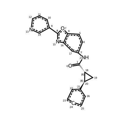 O=C(Nc1ccc2oc(-c3cccnc3)nc2c1)[C@@H]1C[C@H]1c1ccccc1